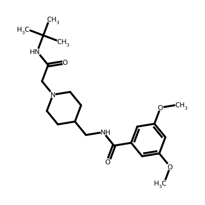 COc1cc(OC)cc(C(=O)NCC2CCN(CC(=O)NC(C)(C)C)CC2)c1